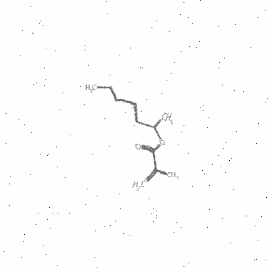 C=C(C)C(=O)OC(C)CCCCC